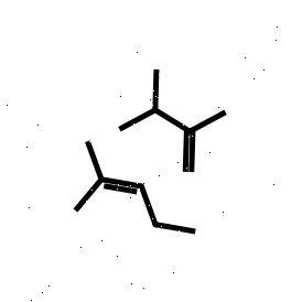 C=C(C)C(C)C.CCC=C(C)C